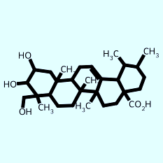 CC1CCC2(C(=O)O)CCC3(C)C(=CCC4C5(C)CC(O)C(O)C(C)(CO)C5CCC43C)C2C1C